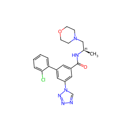 C[C@H](CN1CCOCC1)NC(=O)c1cc(-c2ccccc2Cl)cc(-n2cnnn2)c1